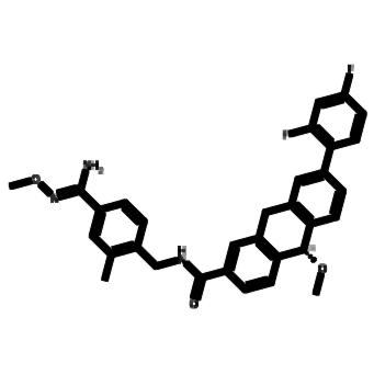 CON=C(N)c1ccc(CNC(=O)c2ccc3c(c2)Cc2cc(-c4ccc(F)cc4F)ccc2[C@@H]3OC)c(C)c1